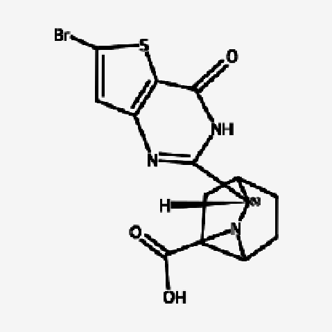 O=C(O)N1C2CCC(CC2)[C@H]1c1nc2cc(Br)sc2c(=O)[nH]1